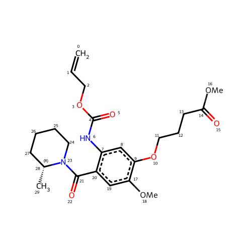 C=CCOC(=O)Nc1cc(OCCCC(=O)OC)c(OC)cc1C(=O)N1CCCC[C@H]1C